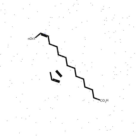 C=C.C=CC.CCCCCCCC/C=C\CCCCCCCCCCCC(=O)O